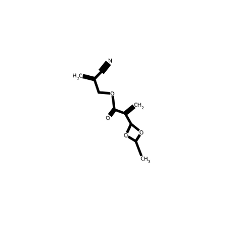 C=C(C#N)COC(=O)C(=C)C1OC(C)O1